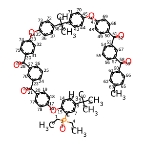 CCP(=O)(CC)c1cc(C(C)(C)C)ccc1Oc1ccc(C(=O)c2cccc(C(=O)c3ccc(Oc4ccc(C(C)(C)c5ccc(Oc6ccc(C(=O)c7cccc(C(=O)c8ccc(C)cc8)c7)cc6)cc5)cc4)cc3)c2)cc1